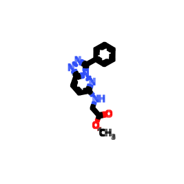 COC(=O)CNc1ccc2nnc(-c3ccccc3)n2n1